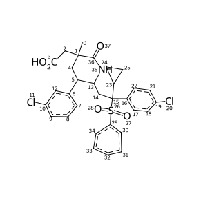 CC1(CC(=O)O)CC(c2cccc(Cl)c2)C(CC(c2ccc(Cl)cc2)(C2CC2)S(=O)(=O)c2ccccc2)NC1=O